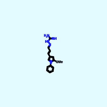 COc1cc(/C=C/C=N/NC(=N)N)cn1-c1ccccc1